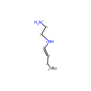 CCCCCC=CNCCN